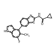 Cc1c(F)cc2[nH]ccc2c1-c1ccc2nc(NC(=O)C3CC3)sc2c1